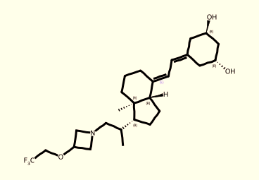 CC(CN1CC(OCC(F)(F)F)C1)[C@H]1CC[C@H]2/C(=C/C=C3C[C@@H](O)C[C@H](O)C3)CCC[C@]12C